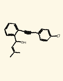 CC(C)=CC(O)c1ccccc1C#Cc1ccc(Cl)cc1